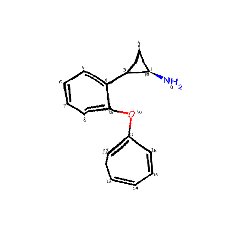 N[C@@H]1CC1c1ccccc1Oc1ccccc1